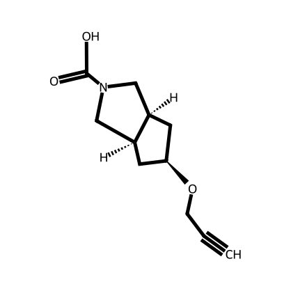 C#CCO[C@@H]1C[C@@H]2CN(C(=O)O)C[C@@H]2C1